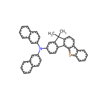 CC1(C)c2cc(N(c3ccc4ccccc4c3)c3ccc4ccccc4c3)ccc2-c2c1ccc1c2sc2ccccc21